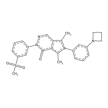 Cc1c2cnn(-c3cccc(S(C)(=O)=O)c3)c(=O)c2c(C)n1-c1cccc(N2CCC2)c1